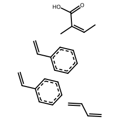 C=CC=C.C=Cc1ccccc1.C=Cc1ccccc1.CC=C(C)C(=O)O